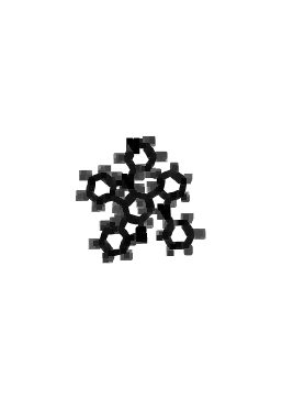 c1ccc(-n2c3ccccc3c3c2c2sc4ccccc4c2c2c4ccccc4n(-c4cccnc4)c23)cc1